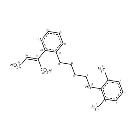 Cc1cccc(C)c1NCCCCc1cccnc1/C(=C/C(=O)O)C(=O)O